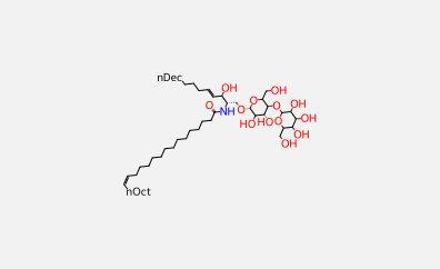 CCCCCCCC/C=C\CCCCCCCCCCCCCC(=O)N[C@@H](CO[C@@H]1OC(CO)[C@@H](O[C@@H]2OC(CO)[C@H](O)[C@H](O)C2O)[C@H](O)C1O)[C@H](O)/C=C/CCCCCCCCCCCCC